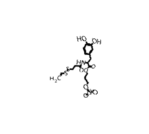 C=CSSCCC(=O)NC(Cc1ccc(O)c(O)c1)C(=O)OCCCO[N+](=O)[O-]